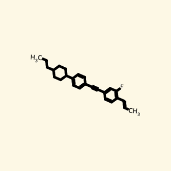 CC=Cc1ccc(C#Cc2ccc(C3CCC(CCC)CC3)cc2)cc1F